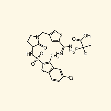 Cc1c(S(=O)(=O)N[C@H]2CCN(Cc3csc(C(=N)N)c3)C2=O)sc2ccc(Cl)cc12.O=C(O)C(F)(F)F